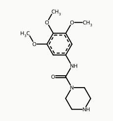 COc1cc(NC(=O)N2CCNCC2)cc(OC)c1OC